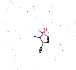 C#CC1C=CP(C)(=O)C1C